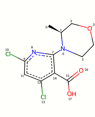 C[C@H]1COCCN1c1nc(Cl)cc(Cl)c1C(=O)O